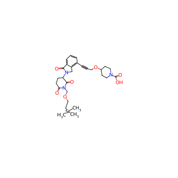 C[Si](C)(C)CCOCN1C(=O)CCC(N2Cc3c(C#CCOC4CCN(C(=O)O)CC4)cccc3C2=O)C1=O